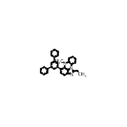 CCc1nc2ccc(-c3cc(-c4ccccc4)cc(-c4ccccc4)c3)c3c2n1-c1ccccc1N3C